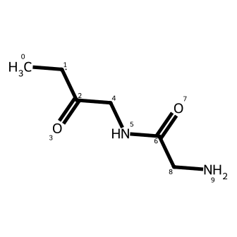 C[CH]C(=O)CNC(=O)CN